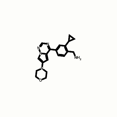 NCc1ccc(-c2ncnn3cc(N4CCOCC4)cc23)cc1C1CC1